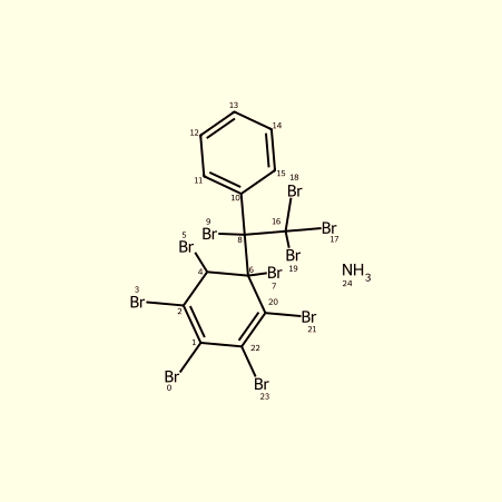 BrC1=C(Br)C(Br)C(Br)(C(Br)(c2ccccc2)C(Br)(Br)Br)C(Br)=C1Br.N